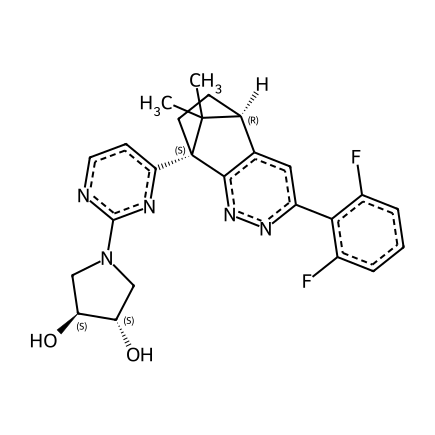 CC1(C)[C@H]2CC[C@]1(c1ccnc(N3C[C@H](O)[C@@H](O)C3)n1)c1nnc(-c3c(F)cccc3F)cc12